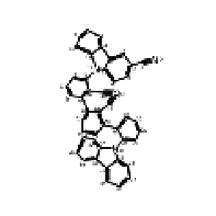 N#Cc1ccc2c(c1)c1ccccc1n2-c1cccc(-c2cccc(-c3ccccc3-n3c4ccccc4c4ccccc43)c2C#N)c1C#N